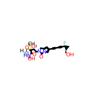 CC(CCN1Cc2cc(C#CC#C[C@]3(F)C[C@H]3CO)cn2C1=O)(C(=O)NO)S(C)(=O)=O